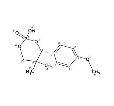 COc1ccc([C@H]2OP(=O)(O)OCC2(C)C)cc1